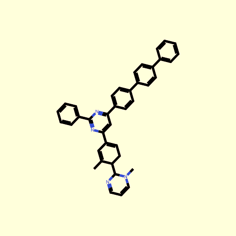 CC1=CC(c2cc(-c3ccc(-c4ccc(-c5ccccc5)cc4)cc3)nc(-c3ccccc3)n2)=CCC1C1N=CC=CN1C